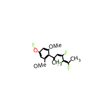 C=C(/C=C(F)\C(F)=C(/C)F)c1c(OC)cc(OF)cc1OC